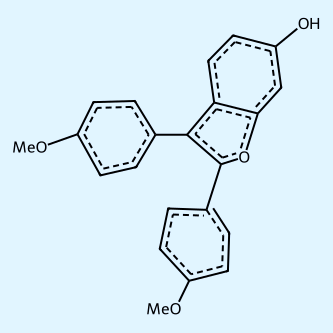 COc1ccc(-c2oc3cc(O)ccc3c2-c2ccc(OC)cc2)cc1